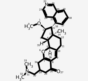 CO[C@@H]1C[C@H]2[C@@H]3OC4=C(C=C3CC[C@]2(C)[C@H]1c1cccc2cnccc12)C(=O)CC(CN(C)C)C4